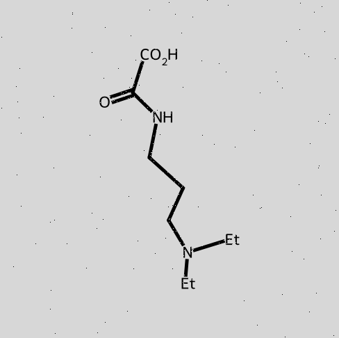 CCN(CC)CCCNC(=O)C(=O)O